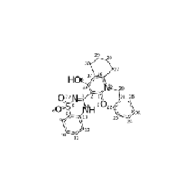 O=c1c(C2=NS(=O)(=O)c3ccccc3N2)c(O)c2c(n1Cc1ccccc1)CCCC2